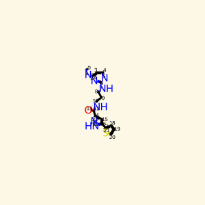 C=Nc1ccnc(NCCCNC(=O)c2cc(-c3cccs3)[nH]n2)n1